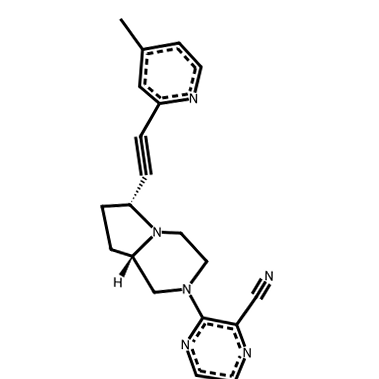 Cc1ccnc(C#C[C@H]2CC[C@H]3CN(c4nccnc4C#N)CCN32)c1